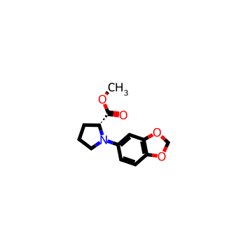 COC(=O)[C@H]1CCCN1c1ccc2c(c1)OCO2